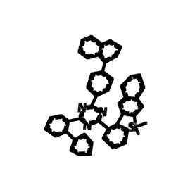 C[Si]1(C)c2cc3ccccc3cc2-c2c(-c3nc(-c4ccc(-c5cccc6ccccc56)cc4)nc(-c4ccccc4-c4ccccc4)n3)cccc21